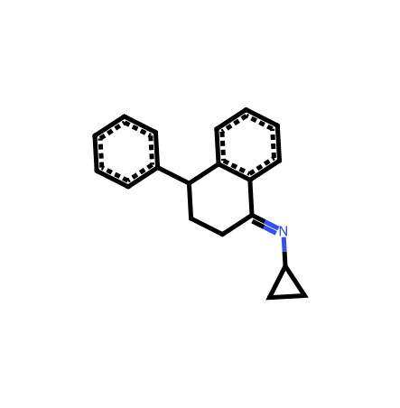 c1ccc(C2CCC(=NC3CC3)c3ccccc32)cc1